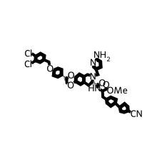 COC(=O)C(Cc1ccc(-c2ccc(C#N)cc2)cc1)NC(=O)[C@@H]1Cc2cc3c(cc2CN1Cc1ccc(N)nc1)O[C@@H](c1ccc(OCc2ccc(Cl)c(Cl)c2)cc1)CO3